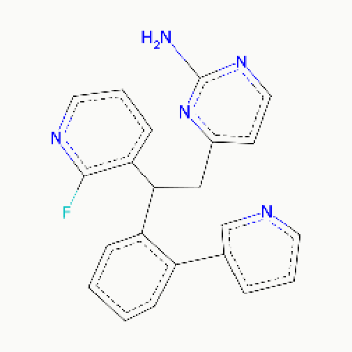 Nc1nccc(CC(c2ccccc2-c2cccnc2)c2cccnc2F)n1